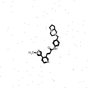 Cn1cc(-c2ccncc2C=CC(=O)Nc2ccc(CN3CCN4CCCC4C3)cc2)cn1